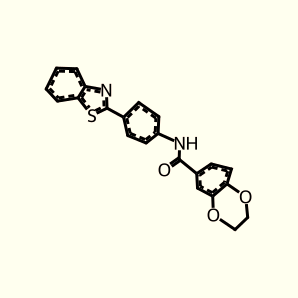 O=C(Nc1ccc(-c2nc3ccccc3s2)cc1)c1ccc2c(c1)OCCO2